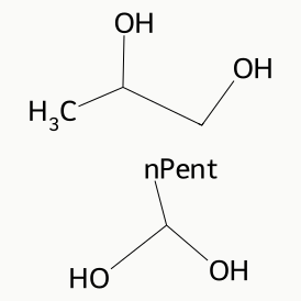 CC(O)CO.CCCCCC(O)O